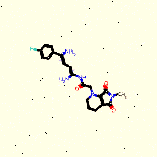 CN1C(=O)C2=C(C1=O)N(CC(=O)N/C(N)=C/C=C(\N)c1ccc(F)cc1)CCC2